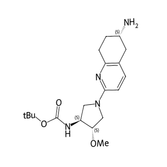 CO[C@H]1CN(c2ccc3c(n2)CC[C@H](N)C3)C[C@@H]1NC(=O)OC(C)(C)C